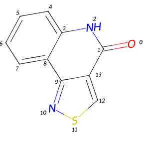 O=c1[nH]c2ccccc2c2nscc12